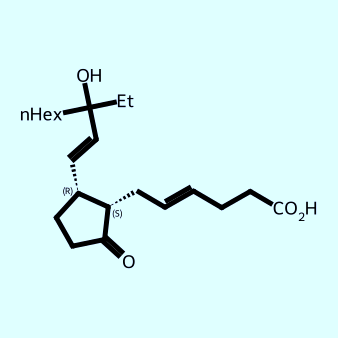 CCCCCCC(O)(C=C[C@H]1CCC(=O)[C@H]1CC=CCCC(=O)O)CC